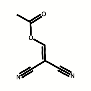 CC(=O)OC=C(C#N)C#N